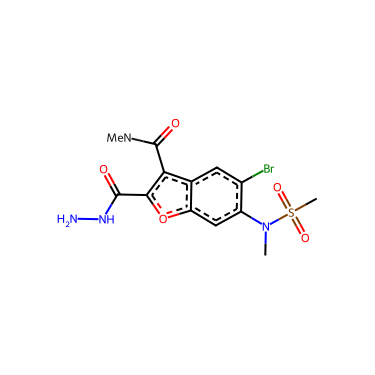 CNC(=O)c1c(C(=O)NN)oc2cc(N(C)S(C)(=O)=O)c(Br)cc12